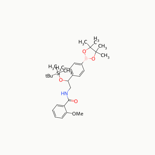 COc1ccccc1C(=O)NCC(O[Si](C)(C)C(C)(C)C)c1ccc(B2OC(C)(C)C(C)(C)O2)cc1C